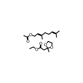 CC(=O)OC/C=C(\C)CCC=C(C)C.CCOC(=O)CC1(C)OCCO1